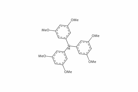 COc1cc(OC)cc([SiH](c2cc(OC)cc(OC)c2)c2cc(OC)cc(OC)c2)c1